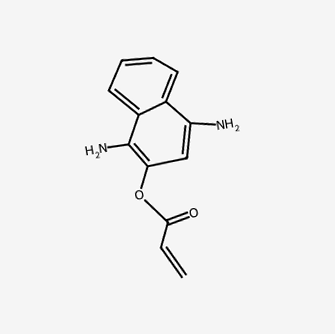 C=CC(=O)Oc1cc(N)c2ccccc2c1N